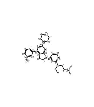 CCN(CCN(C)C)c1cc(N2CCc3c(-c4cccc(O)c4)nc(N4CCOCC4)nc32)ccn1